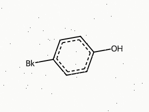 Oc1cc[c]([Bk])cc1